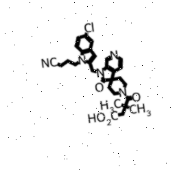 CC(C)(CC(=O)O)C(=O)N1CCC2(CC1)C(=O)N(Cc1cc3cc(Cl)ccc3n1CCCC#N)c1cnccc12